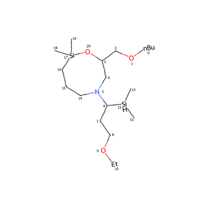 CCCCOCC1CN(C(CCOCC)[SiH](C)C)CCC[Si](C)(C)O1